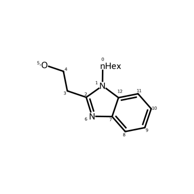 CCCCCCn1c(CC[O])nc2ccccc21